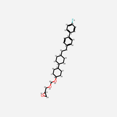 Fc1ccc(-c2ccc(CCC3CCC(C4CCC(OCOCC5CO5)CC4)CC3)cc2)cc1